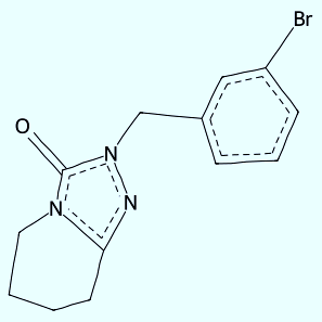 O=c1n(Cc2cccc(Br)c2)nc2n1CCCC2